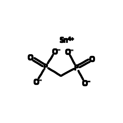 O=P([O-])([O-])CP(=O)([O-])[O-].[Sn+4]